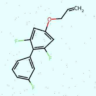 C=CCOc1cc(F)c(-c2[c]ccc(F)c2)c(F)c1